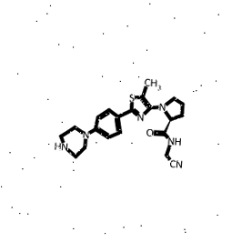 Cc1sc(-c2ccc(N3CCNCC3)cc2)nc1N1CCC[C@H]1C(=O)NCC#N